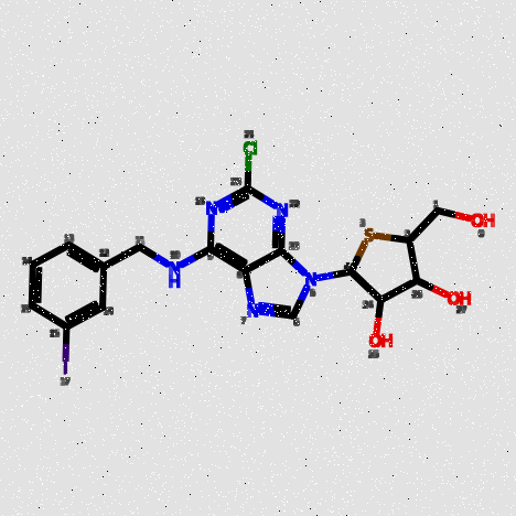 OCC1SC(n2cnc3c(NCc4cccc(I)c4)nc(Cl)nc32)C(O)C1O